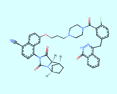 N#Cc1ccc(N2C(=O)[C@H]3[C@H]4CC[C@H](C4)N3C2=O)c2cc(OCCCN3CCN(C(=O)c4cc(Cc5n[nH]c(=O)c6ccccc56)ccc4F)CC3)ccc12